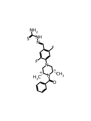 C[C@@H]1CN(c2cc(F)c(C=NNC(N)=S)cc2F)C[C@H](C)N1C(=O)c1ccccc1